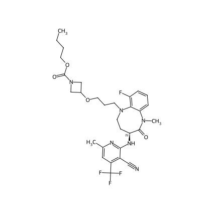 CCCCOC(=O)N1CC(OCCCN2CC[C@H](Nc3nc(C)cc(C(F)(F)F)c3C#N)C(=O)N(C)c3cccc(F)c32)C1